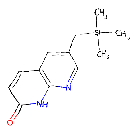 C[Si](C)(C)Cc1cnc2[nH]c(=O)ccc2c1